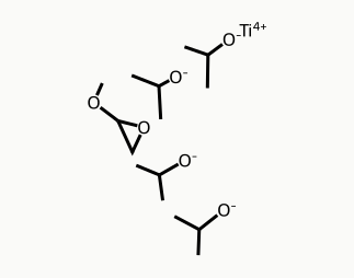 CC(C)[O-].CC(C)[O-].CC(C)[O-].CC(C)[O-].COC1CO1.[Ti+4]